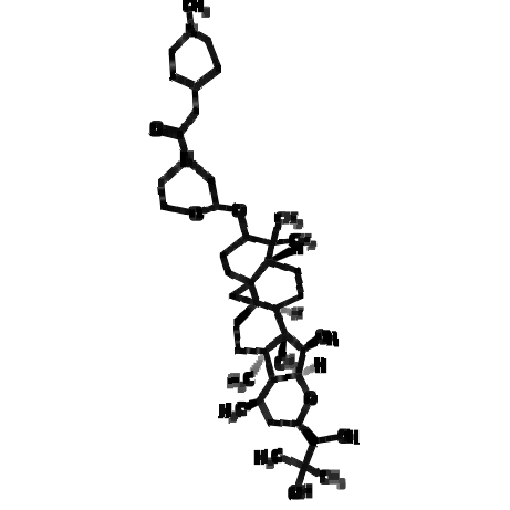 C[C@@H]1C[C@H](C(O)C(C)(C)O)O[C@H]2C1[C@@]1(C)CC[C@@]34CC35CCC(OC3CN(C(=O)CC6CCN(C)CC6)CCO3)C(C)(C)[C@@H]5CC[C@H]4[C@]1(C)[C@H]2O